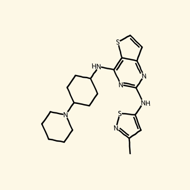 Cc1cc(Nc2nc(NC3CCC(N4CCCCC4)CC3)c3sccc3n2)sn1